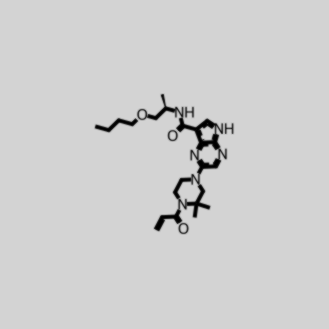 C=CC(=O)N1CCN(c2cnc3[nH]cc(C(=O)N[C@H](C)COCCCC)c3n2)CC1(C)C